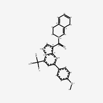 COc1ccc(-c2cc(C(F)(F)F)n3ncc(C(=O)N4C=C5CC=CC=C5CC4)c3n2)cc1